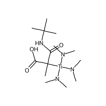 C[N](C)[Ti]([N](C)C)([N](C)C)[C](C)(C(=O)O)C(=O)NC(C)(C)C